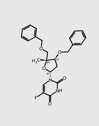 C[C@]1(COCc2ccccc2)O[C@@H](n2cc(F)c(=O)[nH]c2=O)C[C@@H]1OCc1ccccc1